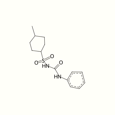 CC1CCC(S(=O)(=O)NC(=O)Nc2ccccc2)CC1